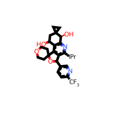 CC(C)c1nc2c(c3c1C(c1ccc(C(F)(F)F)nc1)OC31CCOCC1)C(O)CC1(CC1)[C@H]2O